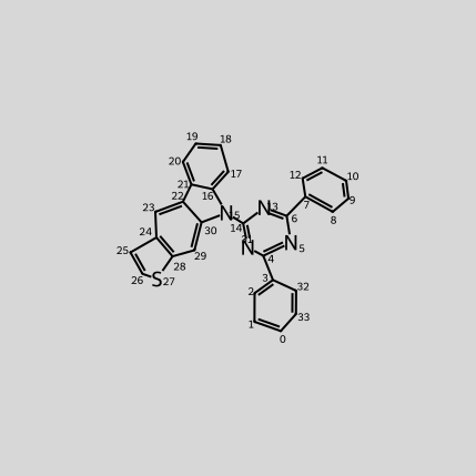 c1ccc(-c2nc(-c3ccccc3)nc(-n3c4ccccc4c4cc5ccsc5cc43)n2)cc1